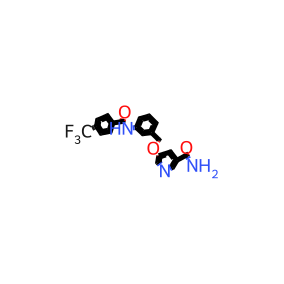 NC(=O)c1cncc(OCc2cccc(NC(=O)c3ccc(C(F)(F)F)cc3)c2)c1